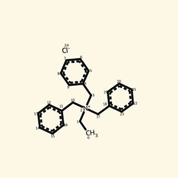 CC[N+](Cc1ccccc1)(Cc1ccccc1)Cc1ccccc1.[Cl-]